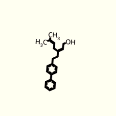 CC(C)=CC/C(=C\CO)CCc1ccc(-c2ccccc2)cc1